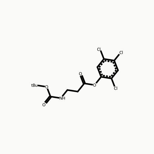 CC(C)(C)OC(=O)NCCC(=O)Oc1cc(Cl)c(Cl)cc1Cl